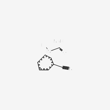 N#Cc1ccccc1.O=CNO.[NaH]